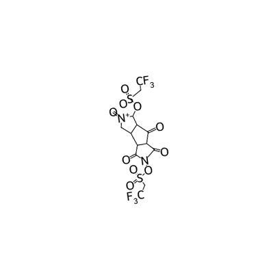 O=C1C2C(=O)N(OS(=O)(=O)CC(F)(F)F)C(=O)C2C2C[N+](=O)C(OS(=O)(=O)CC(F)(F)F)C12